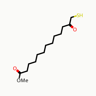 COC(=O)CCCCCCCCCCC(=O)CS